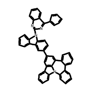 c1ccc(-c2nc(-n3c4ccccc4c4cc(-c5cc6c7c(c5)c5ccccc5n7-c5ccccc5-c5ccccc5-6)ccc43)nc3ccccc23)cc1